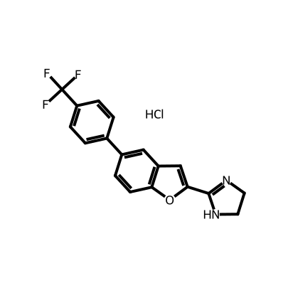 Cl.FC(F)(F)c1ccc(-c2ccc3oc(C4=NCCN4)cc3c2)cc1